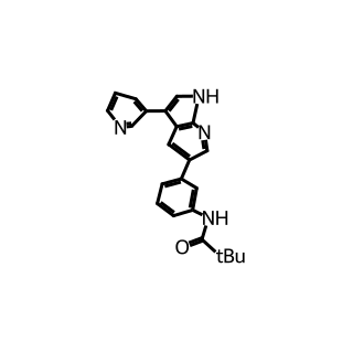 CC(C)(C)C(=O)Nc1cccc(-c2cnc3[nH]cc(-c4cccnc4)c3c2)c1